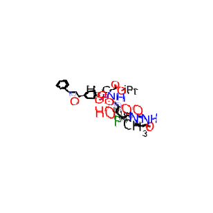 CC(C)OC(=O)C(C)NP(=O)(O/C=C1/O[C@@H](n2ccc(=O)[nH]c2=O)[C@](C)(F)[C@@H]1O)Oc1ccc(C(=O)/C=C/c2ccccc2)cc1